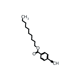 C#Cc1ccc(C(=O)OCCCCCCCCCC)cc1